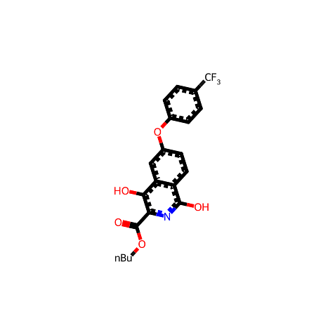 CCCCOC(=O)c1nc(O)c2ccc(Oc3ccc(C(F)(F)F)cc3)cc2c1O